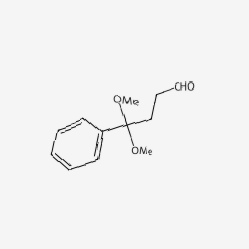 COC(CCC=O)(OC)c1ccccc1